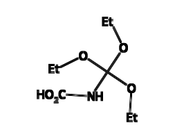 CCOC(NC(=O)O)(OCC)OCC